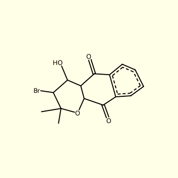 CC1(C)OC2C(=O)c3ccccc3C(=O)C2C(O)C1Br